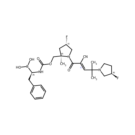 CC(C)(/C=C(\C#N)C(=O)N1C[C@@H](F)C[C@]1(C)COC(=O)N[C@@H](Cc1ccccc1)B(O)O)N1CC[C@@H](F)C1